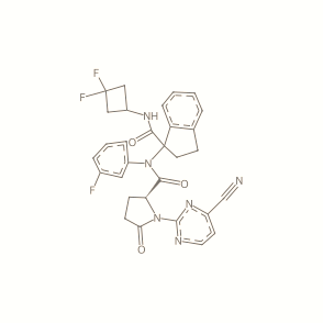 N#Cc1ccnc(N2C(=O)CC[C@H]2C(=O)N(c2cccc(F)c2)C2(C(=O)NC3CC(F)(F)C3)CCc3ccccc32)n1